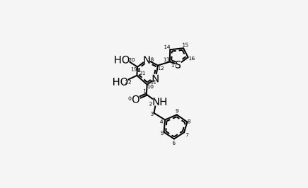 O=C(NCc1ccccc1)c1nc(-c2cccs2)nc(O)c1O